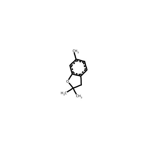 Cc1ccc2c(c1)OC(C)(C)C2